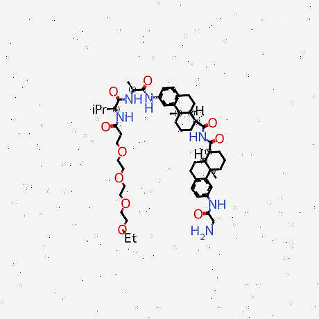 CCOCCOCCOCCOCCC(=O)N[C@H](C(=O)N[C@@H](C)C(=O)Nc1ccc2c(c1)[C@@]1(C)CCC[C@](C)(C(=O)NC(=O)[C@@]3(C)CCC[C@]4(C)c5cc(NC(=O)CN)ccc5CC[C@@H]34)[C@@H]1CC2)C(C)C